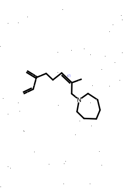 C=CC(=C)CC/C=C(/C)CN1CCCCCC1